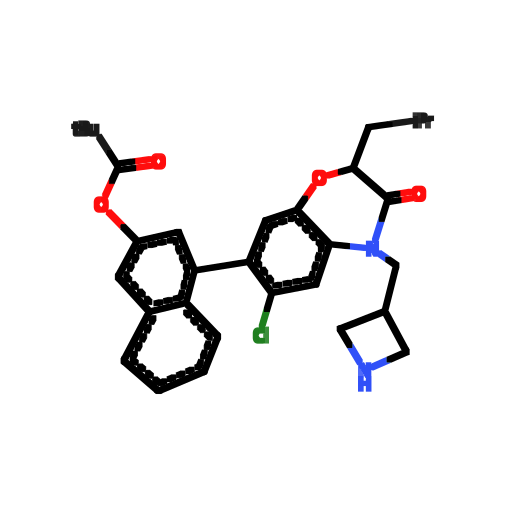 CC(C)CC1Oc2cc(-c3cc(OC(=O)C(C)(C)C)cc4ccccc34)c(Cl)cc2N(CC2CNC2)C1=O